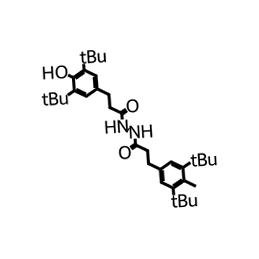 Cc1c(C(C)(C)C)cc(CCC(=O)NNC(=O)CCc2cc(C(C)(C)C)c(O)c(C(C)(C)C)c2)cc1C(C)(C)C